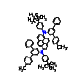 Cc1ccc(-c2cc(-c3ccccc3)cc(N(c3ccc([Si](C)(C)C)cc3)c3ccc4ccc5c(N(c6ccc([Si](C)(C)C)cc6)c6cc(-c7ccccc7)cc(-c7ccc(C)cc7)c6)ccc6ccc3c4c65)c2)cc1